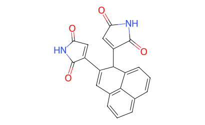 O=C1C=C(C2=Cc3cccc4cccc(c34)C2C2=CC(=O)NC2=O)C(=O)N1